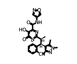 Cc1nn(C)c(C)c1[C@@H](c1ccccc1C#N)[C@H](C)c1nc(C(=O)Nc2cnoc2)c(O)c(=O)n1C